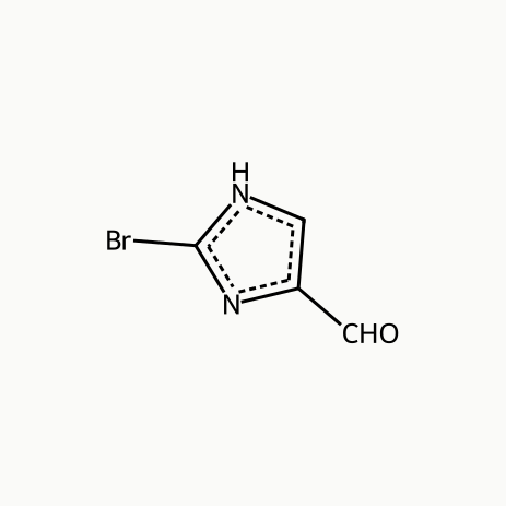 O=Cc1c[nH]c(Br)n1